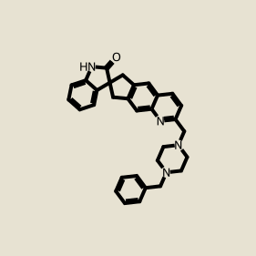 O=C1Nc2ccccc2C12Cc1cc3ccc(CN4CCN(Cc5ccccc5)CC4)nc3cc1C2